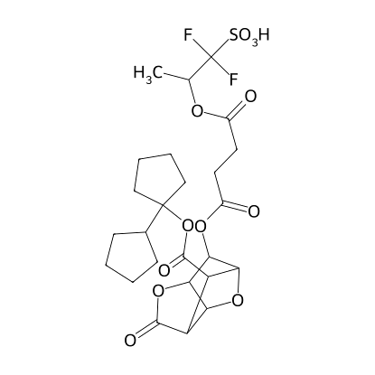 CC(OC(=O)CCC(=O)OC1C2OC(=O)C3C2OC1C3C(=O)OC1(C2CCCC2)CCCC1)C(F)(F)S(=O)(=O)O